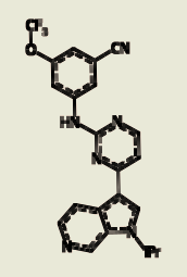 CC(C)n1cc(-c2ccnc(Nc3cc(C#N)cc(OC(F)(F)F)c3)n2)c2ccncc21